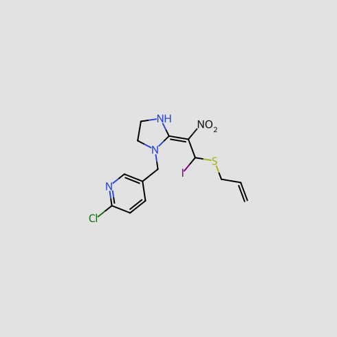 C=CCSC(I)C(=C1NCCN1Cc1ccc(Cl)nc1)[N+](=O)[O-]